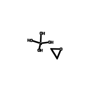 C1CO1.O[Si](O)(O)O